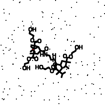 CC(C)C(C)(CC(CC(C)(C(=O)OCCO)C(C)C)C(=O)NCCNC(=O)C(CC(C)(C(=O)OCCO)C(C)C)CC(C)(C(=O)OCCO)C(C)C)C(=O)OCCO